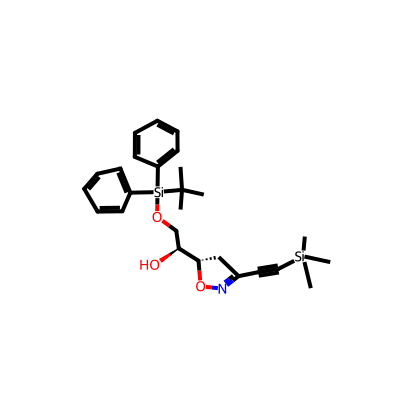 CC(C)(C)[Si](OC[C@H](O)[C@@H]1CC(C#C[Si](C)(C)C)=NO1)(c1ccccc1)c1ccccc1